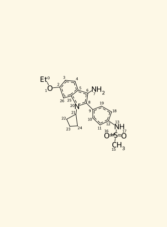 CCOc1ccc2c(N)c(-c3ccc(NS(C)(=O)=O)cc3)n(C3CCC3)c2c1